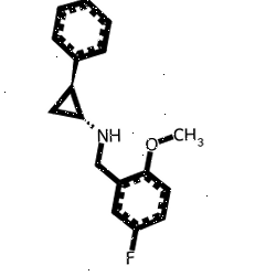 COc1ccc(F)cc1CN[C@@H]1C[C@H]1c1ccccc1